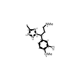 CNCCC(c1ccc(OC)c(Cl)c1)n1nnc(C)n1